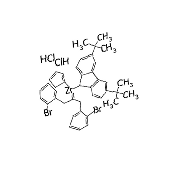 CC(C)(C)c1ccc2c(c1)-c1cc(C(C)(C)C)ccc1[CH]2[Zr]([C]1=CC=CC1)=[C](Cc1ccccc1Br)Cc1ccccc1Br.Cl.Cl